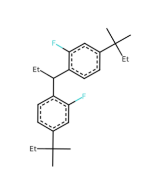 [CH2]CC(c1ccc(C(C)(C)CC)cc1F)c1ccc(C(C)(C)CC)cc1F